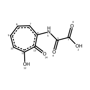 O=C(O)C(=O)Nc1ccccc(O)c1=O